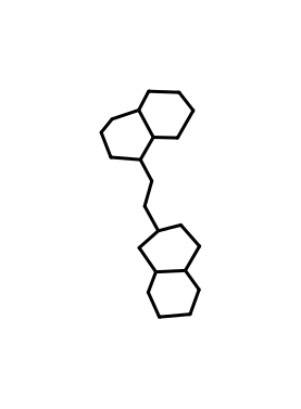 C1CCC2CC(CCC3CCCC4CCCCC43)CCC2C1